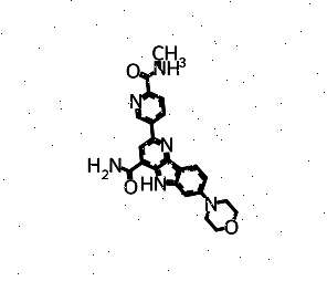 CNC(=O)c1ccc(-c2cc(C(N)=O)c3[nH]c4cc(N5CCOCC5)ccc4c3n2)cn1